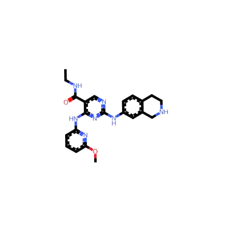 CCNC(=O)c1cnc(Nc2ccc3c(c2)CNCC3)nc1Nc1cccc(OC)n1